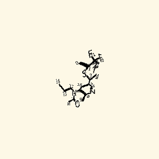 C=C(SC(C)c1cnc(C)c(N(CCC)C(C)=O)c1)C(F)(F)F